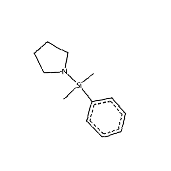 C[Si](C)(c1ccccc1)N1CCCC1